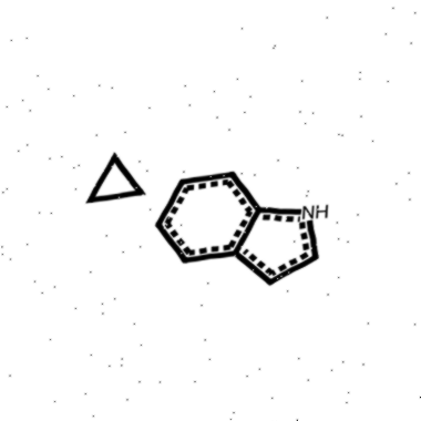 C1CC1.c1ccc2[nH]ccc2c1